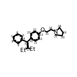 CCC(CC)=C(c1ccccc1)c1ccc(OCCN2CCCC2)cc1